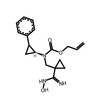 C=CCOC(=O)N(CC1(C(=N)NO)CC1)[C@H]1CC1c1ccccc1